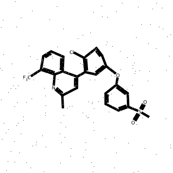 Cc1cc(-c2cc(Oc3cccc(S(C)(=O)=O)c3)ccc2Cl)c2cccc(C(F)(F)F)c2n1